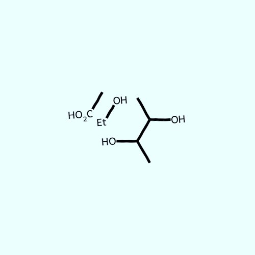 CC(=O)O.CC(O)C(C)O.CCO